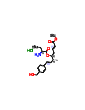 C[C@H](/C=C/c1ccc(CO)cc1)[C@H](C/C=C/C(=O)OC(C)(C)C)OC(=O)[C@@H](N)CC(C)(C)C.Cl